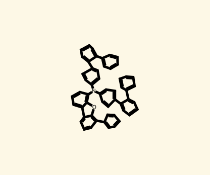 c1ccc(-c2ccccc2-c2ccc(N(c3ccc(-c4ccccc4-c4ccccc4)cc3)c3cccc4c3oc3c(-c5ccccc5)cccc34)cc2)cc1